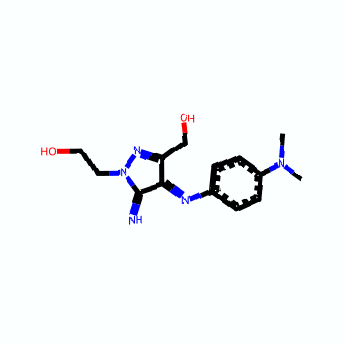 CN(C)c1ccc(N=C2C(=N)N(CCO)N=C2CO)cc1